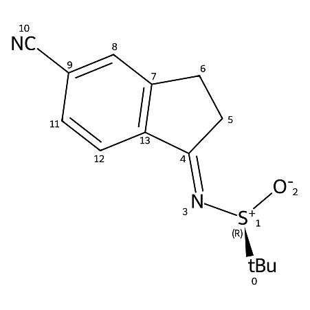 CC(C)(C)[S@+]([O-])N=C1CCc2cc(C#N)ccc21